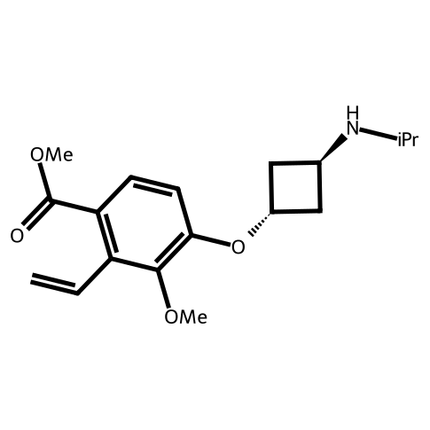 C=Cc1c(C(=O)OC)ccc(O[C@H]2C[C@H](NC(C)C)C2)c1OC